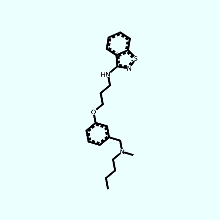 CCCCN(C)Cc1cccc(OCCCNc2nsc3ccccc23)c1